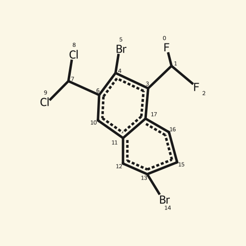 FC(F)c1c(Br)c(C(Cl)Cl)cc2cc(Br)ccc12